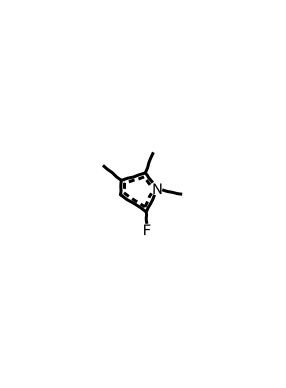 Cc1cc(F)n(C)c1C